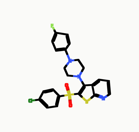 O=S(=O)(c1ccc(Cl)cc1)c1sc2ncccc2c1N1CCN(c2ccc(F)cc2)CC1